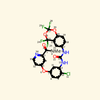 CNC(=O)c1cc(Oc2ccc(Cl)c(NC(=O)Nc3ccc4c(c3)C(F)(F)OC(F)(F)O4)c2)ccn1